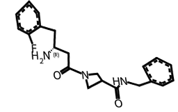 N[C@@H](CC(=O)N1CC(C(=O)NCc2ccccc2)C1)Cc1ccccc1F